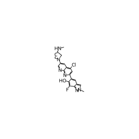 CNC1CCN(c2cnc3nc(-c4cc5cn(C)nc5c(F)c4O)cc(Cl)c3c2)C1